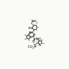 NCc1cccc(-c2nc(C(=O)Nc3ccsc3CC(=O)O)c3cccn3n2)c1F